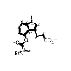 CCN(C)C(=O)Oc1cccc2[nH]cc(CCC(=O)O)c12